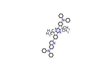 CC1(C)c2cc(-c3ccc4cc(N(c5ccccc5)c5ccccc5)ccc4n3)ccc2-c2nc3c(nc21)-c1ccc(N(c2ccccc2)c2ccccc2)cc1C3(C)C